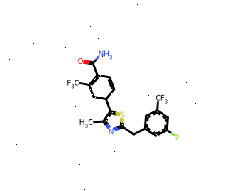 Cc1nc(Cc2cc(F)cc(C(F)(F)F)c2)sc1C1C=CC(C(N)=O)=C(C(F)(F)F)C1